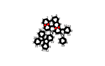 c1ccc(-c2cccc3cccc(-c4ccccc4N(c4ccc5c(c4)C(c4ccccc4)(c4ccccc4)c4ccccc4-5)c4ccc5c6ccccc6n(-c6ccccc6)c5c4)c23)cc1